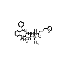 C[C@H](NC(=O)CCCc1cccs1)C(=O)N[C@H]1N=C(c2ccccc2)c2ccccc2N(C)C1=O